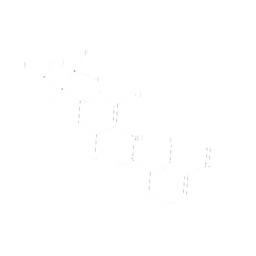 O=C(Nc1c(Cl)cc(C(F)(C(F)(F)F)C(F)(F)Br)cc1Br)c1cccc([N+](=O)[O-])c1F